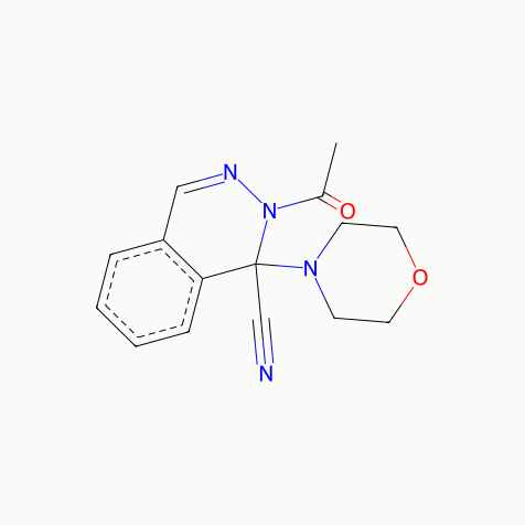 CC(=O)N1N=Cc2ccccc2C1(C#N)N1CCOCC1